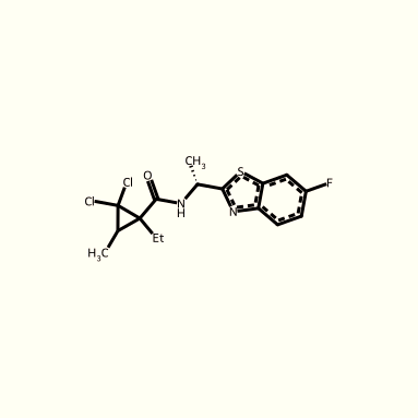 CCC1(C(=O)N[C@H](C)c2nc3ccc(F)cc3s2)C(C)C1(Cl)Cl